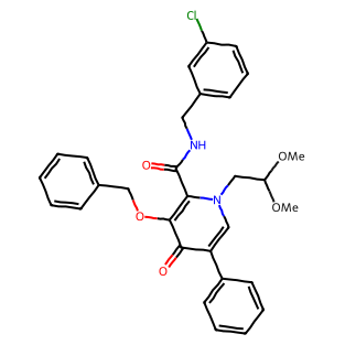 COC(Cn1cc(-c2ccccc2)c(=O)c(OCc2ccccc2)c1C(=O)NCc1cccc(Cl)c1)OC